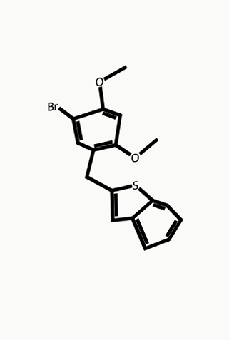 COc1cc(OC)c(Cc2cc3ccccc3s2)cc1Br